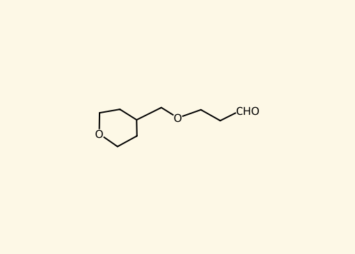 O=CCCOCC1CCOCC1